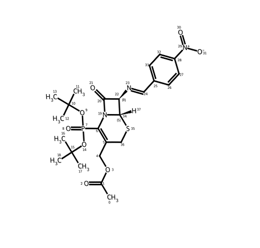 CC(=O)OCC1=C(P(=O)(OC(C)(C)C)OC(C)(C)C)N2C(=O)[C@@H](N=Cc3ccc([N+](=O)[O-])cc3)[C@@H]2SC1